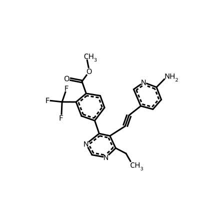 CCc1ncnc(-c2ccc(C(=O)OC)c(C(F)(F)F)c2)c1C#Cc1ccc(N)nc1